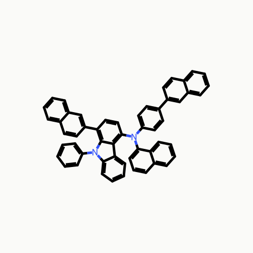 c1ccc(-n2c3ccccc3c3c(N(c4ccc(-c5ccc6ccccc6c5)cc4)c4cccc5ccccc45)ccc(-c4ccc5ccccc5c4)c32)cc1